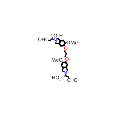 COc1cc2c(cc1OCCCOc1cc3c(cc1OC)CN(C(CC=O)C(=O)O)C3)CN(C(CC=O)C(=O)O)C2